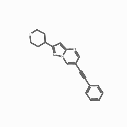 C(#Cc1cnc2cc(C3CCOCC3)nn2c1)c1ccccc1